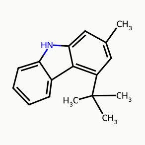 Cc1cc(C(C)(C)C)c2c(c1)[nH]c1ccccc12